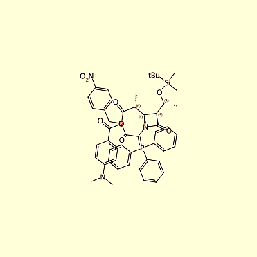 C[C@@H](O[Si](C)(C)C(C)(C)C)[C@H]1C(=O)N(C(C(=O)OCc2ccc([N+](=O)[O-])cc2)=P(c2ccccc2)(c2ccccc2)c2ccccc2)[C@H]1[C@@H](C)C(=O)OC(=O)c1ccc(N(C)C)cc1